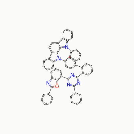 c1ccc(-c2nc(-c3ccccc3-c3ccc(-n4c5ccccc5c5ccc6c7ccccc7n(-c7ccccc7)c6c54)cc3)nc(-c3cccc4nc(-c5ccccc5)oc34)n2)cc1